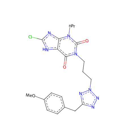 CCCn1c(=O)n(CCCn2nnc(Cc3ccc(OC)cc3)n2)c(=O)c2[nH]c(Cl)nc21